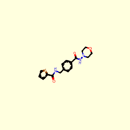 O=C(NN1CCOCC1)c1ccc(CNC(=O)c2cccs2)cc1